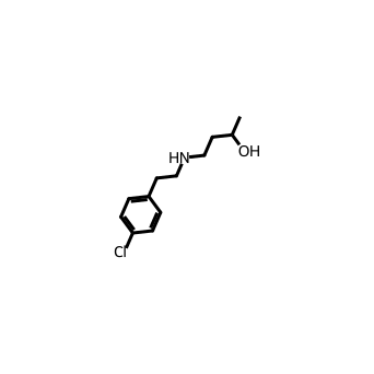 CC(O)CCNCCc1ccc(Cl)cc1